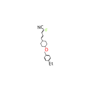 CCc1ccc(COC2CCC(C=CC=C(F)C#N)CC2)cc1